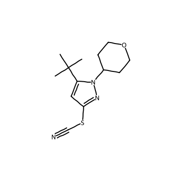 CC(C)(C)c1cc(SC#N)nn1C1CCOCC1